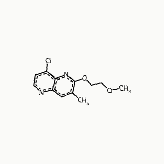 COCCOc1nc2c(Cl)ccnc2cc1C